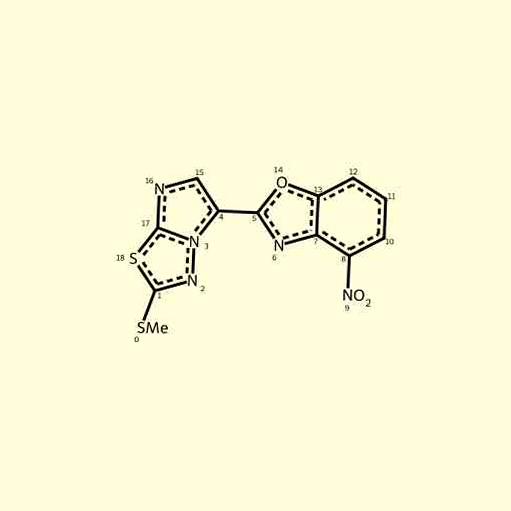 CSc1nn2c(-c3nc4c([N+](=O)[O-])cccc4o3)cnc2s1